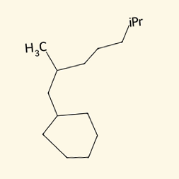 CC(C)CCCC(C)CC1CCCCC1